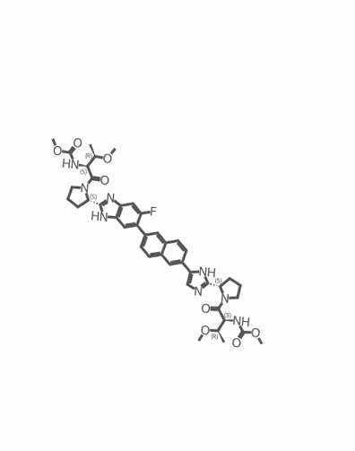 COC(=O)N[C@H](C(=O)N1CCC[C@H]1c1ncc(-c2ccc3cc(-c4cc5[nH]c([C@@H]6CCCN6C(=O)[C@@H](NC(=O)OC)[C@@H](C)OC)nc5cc4F)ccc3c2)[nH]1)[C@@H](C)OC